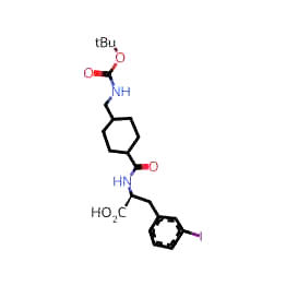 CC(C)(C)OC(=O)NCC1CCC(C(=O)N[C@@H](Cc2cccc(I)c2)C(=O)O)CC1